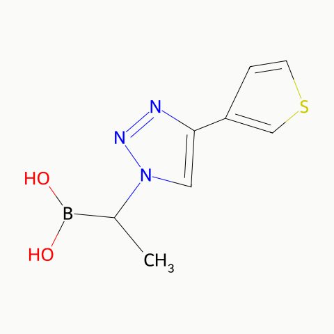 CC(B(O)O)n1cc(-c2ccsc2)nn1